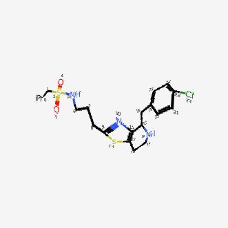 CC(C)CS(=O)(=O)NCCCc1nc2c(s1)CCNC2Cc1ccc(Cl)cc1